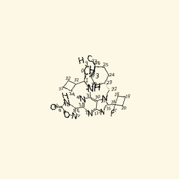 C[C@@H](Nc1nc(-c2noc(=O)[nH]2)nc2nc(C3(F)CCC3)n(C[C@H]3CC[C@H](C)CC3)c12)C1CCC1